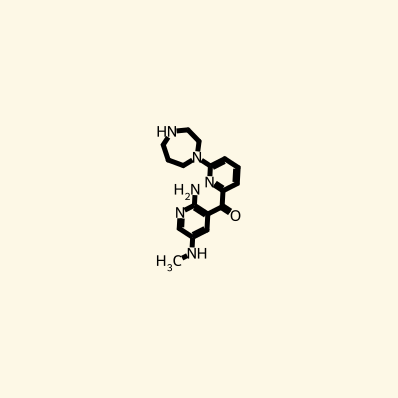 CNc1cnc(N)c(C(=O)c2cccc(N3CCCNCC3)n2)c1